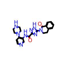 O=C(Nc1cnccc1N1CCNCC1)c1n[nH]c(N2CCc3ccccc3C2=O)n1